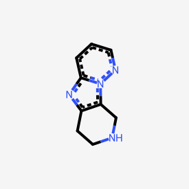 c1cnn2c3c(nc2c1)CCNC3